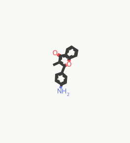 Cc1c(-c2ccc(N)cc2)oc2ccccc2c1=O